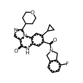 O=C(c1cc2[nH]c(=O)c3cnc(C4CCOCC4)n3c2cc1C1CC1)N1Cc2cccc(F)c2C1